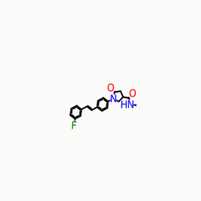 CNC(=O)C1CC(=O)N(c2ccc(C=Cc3cccc(F)c3)cc2)C1